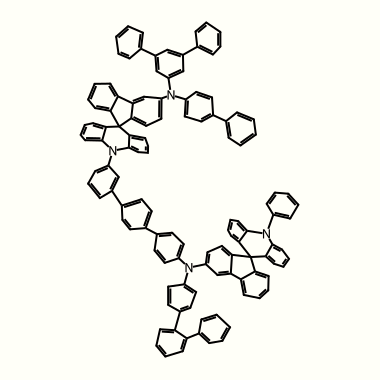 c1ccc(-c2ccc(N(c3cc(-c4ccccc4)cc(-c4ccccc4)c3)c3ccc4c(c3)-c3ccccc3C43c4ccccc4N(c4cccc(-c5ccc(-c6ccc(N(c7ccc(-c8ccccc8-c8ccccc8)cc7)c7ccc8c(c7)-c7ccccc7C87c8ccccc8N(c8ccccc8)c8ccccc87)cc6)cc5)c4)c4ccccc43)cc2)cc1